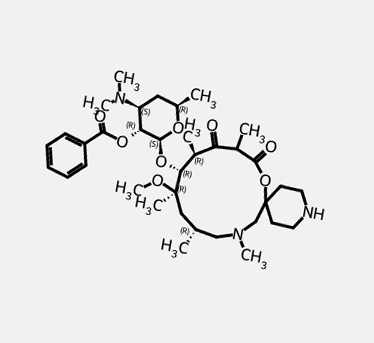 CO[C@]1(C)C[C@@H](C)CN(C)CC2(CCNCC2)OC(=O)C(C)C(=O)[C@H](C)[C@H]1O[C@@H]1O[C@H](C)C[C@H](N(C)C)[C@H]1OC(=O)c1ccccc1